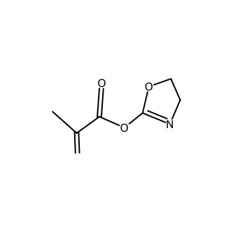 C=C(C)C(=O)OC1=NCCO1